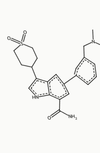 CN(C)Cc1cccc(-c2cc(C(N)=O)c3[nH]cc(C4CCS(=O)(=O)CC4)c3c2)c1